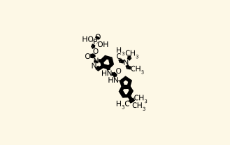 CC(C)(C)c1ccc2c(c1)CC[C@H]2NC(=O)Nc1cccc2c1cnn2C(=O)OCP(=O)(O)O.CCN(CC)CC